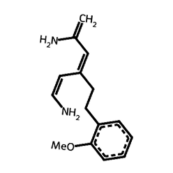 C=C(N)/C=C(\C=C/N)CCc1ccccc1OC